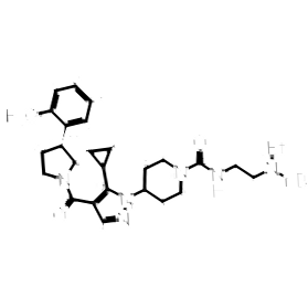 CCCCN(CC)CCNC(=O)N1CCC(n2ncc(C(=O)N3CC[C@@H](c4ccccc4C(F)(F)F)C3)c2C2CC2)CC1